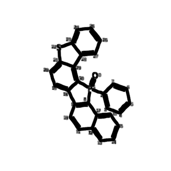 O=P1(c2ccccc2)c2c(ccc3ccccc23)-c2ccc3sc4ccccc4c3c21